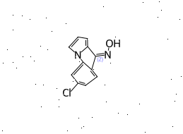 O/N=C1/c2ccc(Cl)cc2-n2cccc21